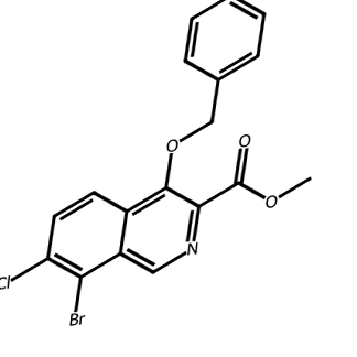 COC(=O)c1ncc2c(Br)c(Cl)ccc2c1OCc1ccccc1